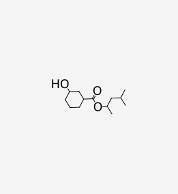 CC(C)CC(C)OC(=O)C1CCCC(O)C1